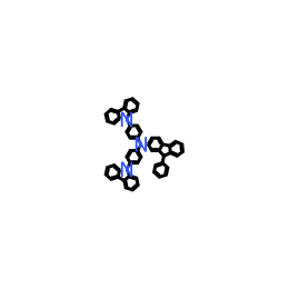 c1ccc(C2c3ccccc3-c3ccc(N(c4ccc(-n5c6ccccc6c6ccccc65)cc4)c4ccc(-n5c6ccccc6c6ccccc65)cc4)cc32)cc1